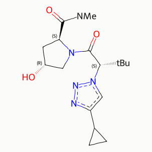 CNC(=O)[C@@H]1C[C@@H](O)CN1C(=O)[C@@H](n1cc(C2CC2)nn1)C(C)(C)C